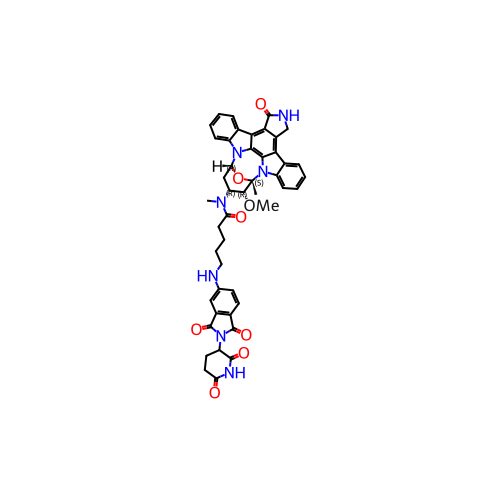 CO[C@@H]1[C@H](N(C)C(=O)CCCCNc2ccc3c(c2)C(=O)N(C2CCC(=O)NC2=O)C3=O)C[C@H]2O[C@]1(C)n1c3ccccc3c3c4c(c5c6ccccc6n2c5c31)C(=O)NC4